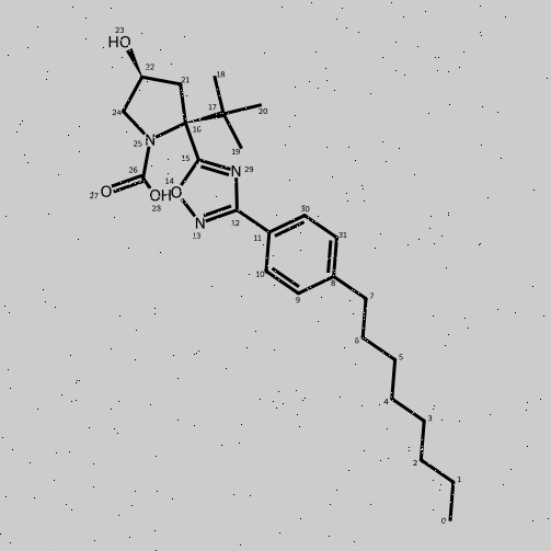 CCCCCCCCc1ccc(-c2noc([C@@]3(C(C)(C)C)C[C@H](O)CN3C(=O)O)n2)cc1